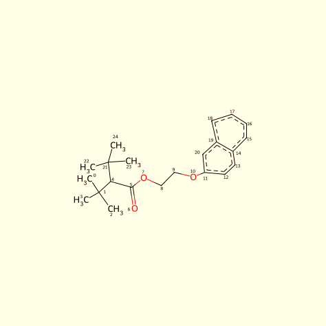 CC(C)(C)C(C(=O)OCCOc1ccc2ccccc2c1)C(C)(C)C